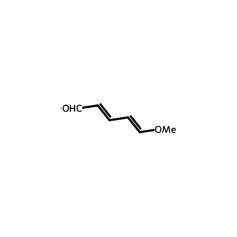 COC=CC=C[C]=O